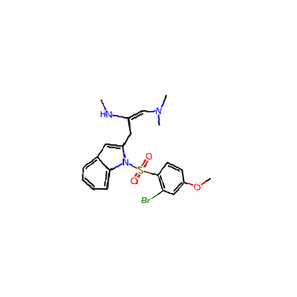 CN/C(=C/N(C)C)Cc1cc2ccccc2n1S(=O)(=O)c1ccc(OC)cc1Br